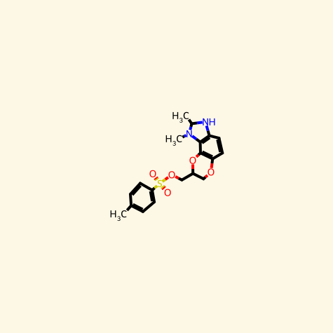 Cc1ccc(S(=O)(=O)OCC2COc3ccc4c(c3O2)N(C)C(C)N4)cc1